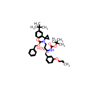 C=CCOc1cccc(C[C@H](NC(=O)OC(C)(C)C)[C@H](O)CN(C(=O)OCc2ccccc2)C2(c3cccc(C(C)(C)C)c3)CC2)c1